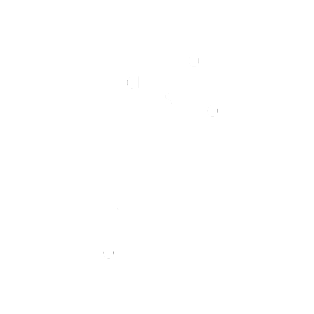 O=C1CCC(S(=O)(=O)Cl)CC1